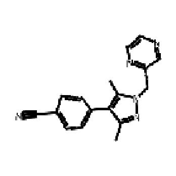 Cc1nn(Cc2cnccn2)c(C)c1-c1ccc(C#N)cc1